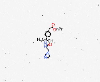 CCCOC(=O)Cc1ccc(C(C)(C)NC(=O)CCn2ccnc2)cc1